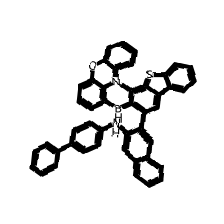 B1c2cccc3c2N(c2ccccc2O3)c2c1c(-c1cc3ccccc3cc1Nc1ccc(-c3ccccc3)cc1)cc1c2sc2ccccc21